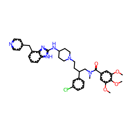 COc1cc(C(=O)N(C)CC(CCN2CCC(Nc3nc4c(Cc5ccncc5)cccc4[nH]3)CC2)c2cccc(Cl)c2)cc(OC)c1OC